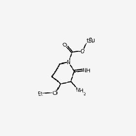 CCOC1CCN(C(=O)OC(C)(C)C)C(=N)C1N